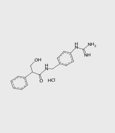 Cl.N=C(N)Nc1ccc(CNC(=O)C(CO)c2ccccc2)cc1